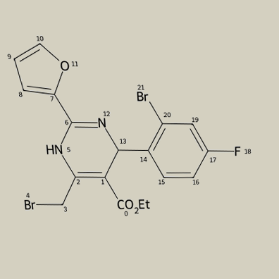 CCOC(=O)C1=C(CBr)NC(c2ccco2)=NC1c1ccc(F)cc1Br